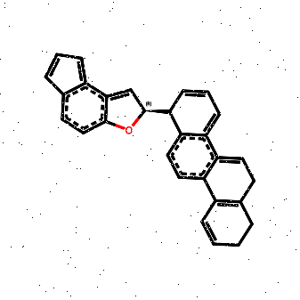 [C]1=c2c(ccc3c2=C[C@@H](C2C=CC=c4c2ccc2c4=CCC4=C2C=CCC4)O3)C=C1